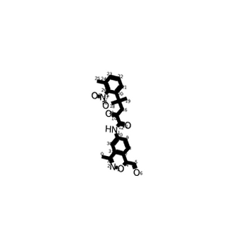 CC1=NOC(C=O)c2ccc(NC(=O)C(=O)CC(C)(C)c3cccc(C)c3[N+](=O)[O-])cc21